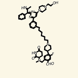 CC(=N)/C(=C1/N=C(c2cccc(CCCCCCCN3CCC(c4cc(CN(C)C5CCC(=O)NC5=O)c(C=O)cc4F)CC3)c2)C=C(N2CCN(CCO)CC2)N1)c1ccccc1